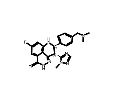 CN(C)Cc1ccc([C@@H]2Nc3cc(F)cc4c(=O)[nH]nc(c34)[C@H]2c2ncnn2C)cc1